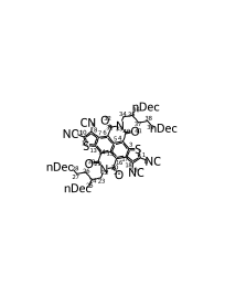 [C-]#[N+]c1sc2c3c4c(c5c(C#N)c(C#N)sc5c5c4c(c2c1[N+]#[C-])C(=O)N(CC(CCCCCCCCCC)CCCCCCCCCCCC)C5=O)C(=O)N(CC(CCCCCCCCCC)CCCCCCCCCCCC)C3=O